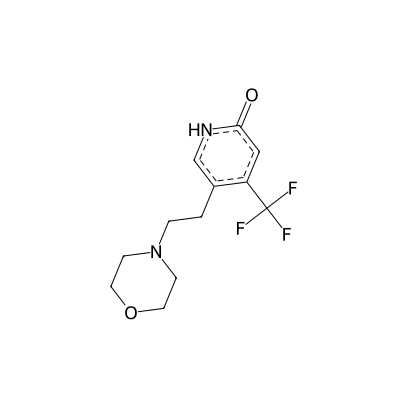 O=c1cc(C(F)(F)F)c(CCN2CCOCC2)c[nH]1